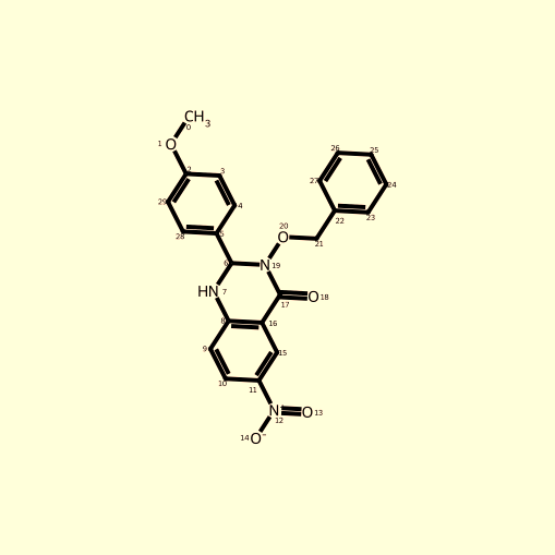 COc1ccc(C2Nc3ccc([N+](=O)[O-])cc3C(=O)N2OCc2ccccc2)cc1